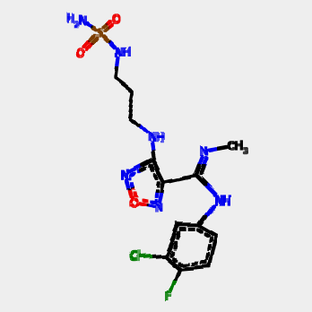 C/N=C(\Nc1ccc(F)c(Cl)c1)c1nonc1NCCCNS(N)(=O)=O